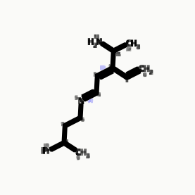 C=C/C(=C\C=N\CCC(C)C(C)C)C(C)N